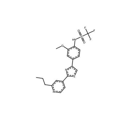 CCCc1cc(-c2nc(-c3ccc(NS(=O)(=O)C(F)(F)F)c(OC)c3)cs2)ccn1